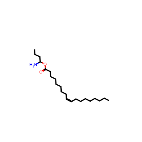 CCCCCCCC/C=C\CCCCCCCC(=O)OC(N)CCC